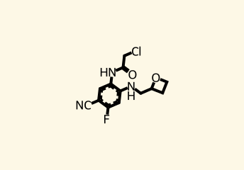 N#Cc1cc(NC(=O)CCl)c(NCC2CCO2)cc1F